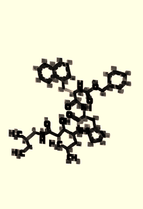 CCC(C)CNC(=O)CC(O)C(CC(C)C)NC(=O)[C@H](Cc1nccs1)NC(=O)[C@H](Cc1cccc2ccccc12)NC(=O)OCc1ccccc1